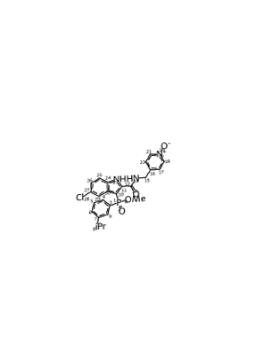 COP(=O)(c1cccc(C(C)C)c1)c1c(C(=O)NCc2cc[n+]([O-])cc2)[nH]c2ccc(Cl)cc12